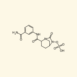 NC(=O)c1cccc(NC(=O)C2CCC3CN2C(=O)N3OS(=O)(=O)O)c1